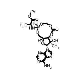 CC(C)OC(=O)C(C)N[P]1(O)OCOC(=O)O[C@@H]2[C@@H](CO1)O[C@@H](n1cnc3c(N)ncnc31)[C@]2(C)O